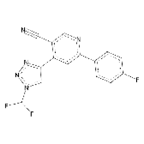 N#Cc1cnc(-c2ccc(F)cc2)cc1-c1cn(C(F)F)nn1